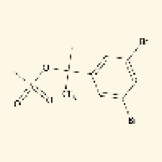 CC(OS(C)(=O)=O)(c1cc(Br)cc(Br)c1)C(F)(F)F